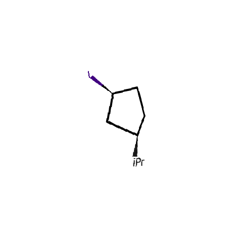 CC(C)[C@@H]1CC[C@H](I)C1